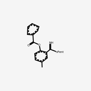 CCCCCC(=N)c1cc(C)ccc1OC(=O)c1ccccc1